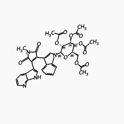 CC(=O)OC[C@H]1O[C@@H](n2cc(C3=C(c4c[nH]c5ncccc45)C(=O)N(C)C3=O)c3ccccc32)[C@H](OC(C)=O)[C@@H](OC(C)=O)[C@@H]1OC(C)=O